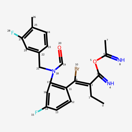 CC/C(C(=N)OC(C)=N)=C(/Br)c1ccc(F)cc1N(C=O)Cc1ccc(C)c(F)c1